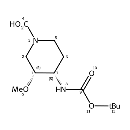 CO[C@@H]1CN(C(=O)O)CC[C@@H]1NC(=O)OC(C)(C)C